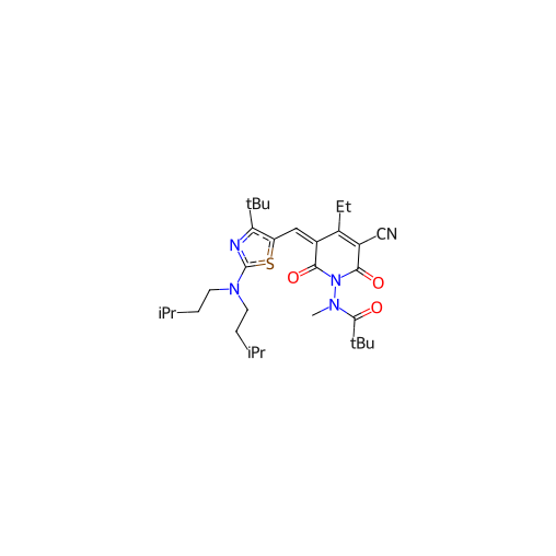 CCC1=C(C#N)C(=O)N(N(C)C(=O)C(C)(C)C)C(=O)/C1=C\c1sc(N(CCC(C)C)CCC(C)C)nc1C(C)(C)C